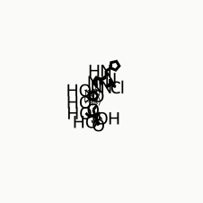 CC(CO)(OC[C@H]1O[C@@H](n2ncc3c(NC4CCCC4)nc(Cl)nc32)[C@H](O)[C@@H]1O)P(=O)(O)O